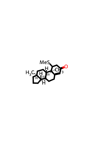 CSC1CC(=O)C=C2CC[C@H]3[C@@H]4CCC[C@@]4(C)CC[C@@H]3[C@]21C